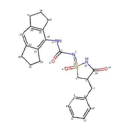 O=C(N=S1(=O)CC(Cc2ccccc2)C(=O)N1)Nc1c2c(cc3c1CCC3)CCC2